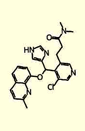 Cc1ccc2cccc(OC(c3c[nH]cn3)c3c(Cl)cncc3CCC(=O)N(C)C)c2n1